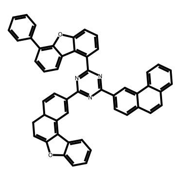 C1=CC2CC=c3oc4ccccc4c3=C2C=C1c1nc(-c2ccc3ccc4ccccc4c3c2)nc(-c2cccc3oc4c(-c5ccccc5)cccc4c23)n1